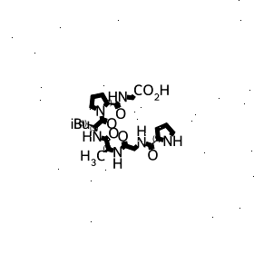 CC[C@H](C)[C@H](NC(=O)[C@H](C)NC(=O)CNC(=O)[C@@H]1CCCN1)C(=O)N1CCC[C@H]1C(=O)NCC(=O)O